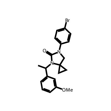 COc1cccc(C(C)N2C(=O)N(c3ccc(Br)cc3)CC23CC3)c1